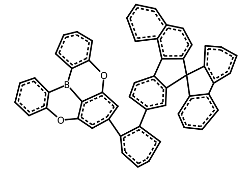 c1ccc2c(c1)Oc1cc(-c3ccccc3-c3ccc4c(c3)C3(c5ccccc5-c5ccccc53)c3ccc5ccccc5c3-4)cc3c1B2c1ccccc1O3